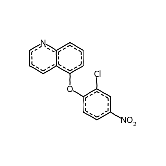 O=[N+]([O-])c1ccc(Oc2cccc3ncccc23)c(Cl)c1